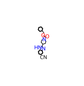 N#Cc1ccc2[nH]c(C3CCN(C(=O)OCc4ccccc4)CC3)nc2c1